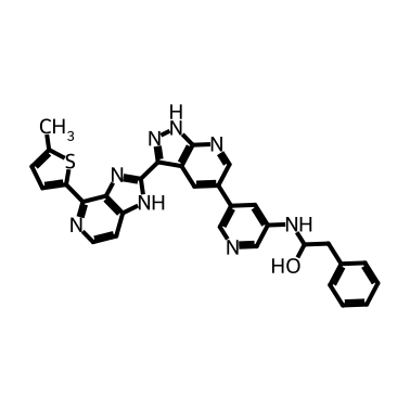 Cc1ccc(-c2nccc3[nH]c(-c4n[nH]c5ncc(-c6cncc(NC(O)Cc7ccccc7)c6)cc45)nc23)s1